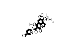 COc1cc2c(O)c(C(=O)Nc3ccc(Cl)cn3)c(=O)n3c2c(c1OC)CC3